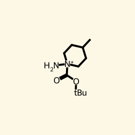 CC1CC[N+](N)(C(=O)OC(C)(C)C)CC1